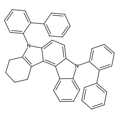 c1ccc(-c2ccccc2-n2c3c(c4c5c6ccccc6n(-c6ccccc6-c6ccccc6)c5ccc42)CCCC3)cc1